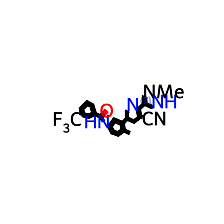 CN/C=C(\C=N)C1=C(C#N)CC(c2cc(NC(=O)c3cccc(C(F)(F)F)c3)ccc2C)C=N1